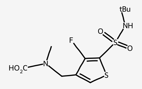 CN(Cc1csc(S(=O)(=O)NC(C)(C)C)c1F)C(=O)O